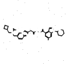 CC(C)(C)OC(=O)N(Cc1ccc2nc(CC(=O)NNC(=O)c3cc(Br)cc4c3cnn4C3CCCCO3)cn2c1)CC1CCC1